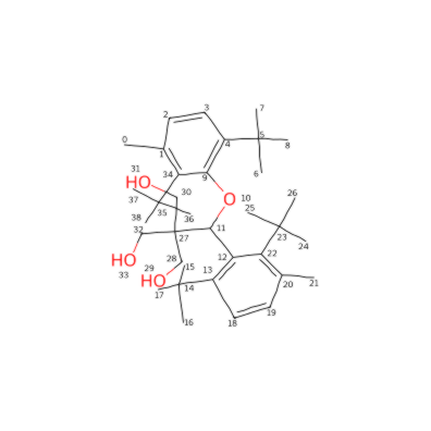 Cc1ccc(C(C)(C)C)c(OC(c2c(C(C)(C)C)ccc(C)c2C(C)(C)C)C(CO)(CO)CO)c1C(C)(C)C